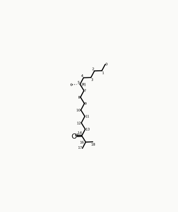 CCCCC[C@@H](C)CCCCCCCC(=O)C(C)C